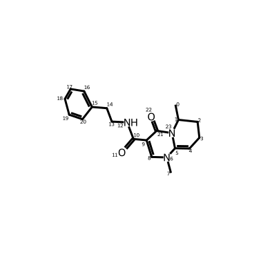 CC1CCC=C2N(C)C=C(C(=O)NCCc3ccccc3)C(=O)N21